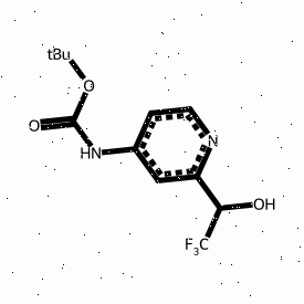 CC(C)(C)OC(=O)Nc1ccnc(C(O)C(F)(F)F)c1